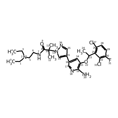 CCN(CC)CCNC(=O)C(C)(C)n1cc(-c2cnc(N)c(OC(C)c3c(Cl)ccc(F)c3Cl)c2)cn1